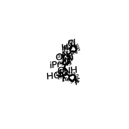 CC(C)c1c(C(=O)NC(c2ccc(F)cc2)C(F)(F)CO)cn2nc(-c3cccc(Cl)c3F)[nH]c(=O)c12